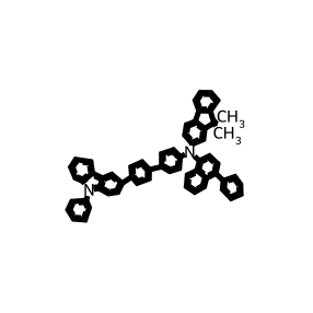 CC1(C)c2ccccc2-c2ccc(N(c3ccc(-c4ccc(-c5ccc6c(c5)c5ccccc5n6-c5ccccc5)cc4)cc3)c3ccc(-c4ccccc4)c4ccccc34)cc21